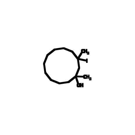 CC1(O)CCCCCCCCCC(C)(I)C1